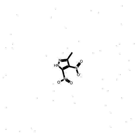 Cc1n[nH]c([N+](=O)[O-])c1[N+](=O)[O-]